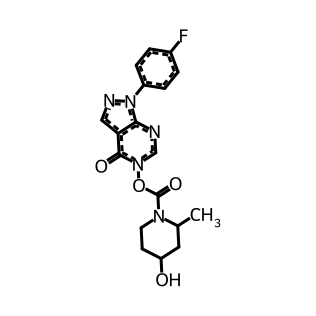 CC1CC(O)CCN1C(=O)On1cnc2c(cnn2-c2ccc(F)cc2)c1=O